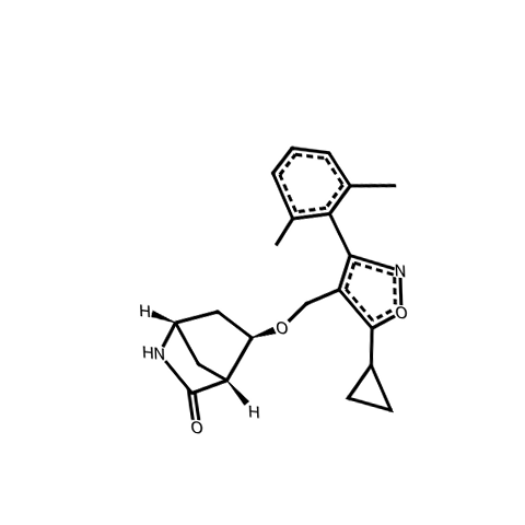 Cc1cccc(C)c1-c1noc(C2CC2)c1CO[C@@H]1C[C@@H]2C[C@H]1C(=O)N2